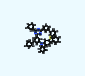 c1ccc(-c2cccc(-c3nc(-c4ccccc4)nc(-c4cc(-c5ccccc5)cc(-n5c6ccccc6c6cc7c(cc65)sc5ccccc57)c4)n3)c2)cc1